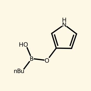 CCCCB(O)Oc1cc[nH]c1